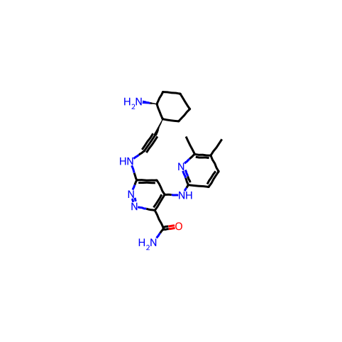 Cc1ccc(Nc2cc(NC#C[C@@H]3CCCC[C@@H]3N)nnc2C(N)=O)nc1C